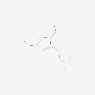 CCOc1cc(CO[Si](C)(C)C(C)(C)C)n(CC(=O)O)n1